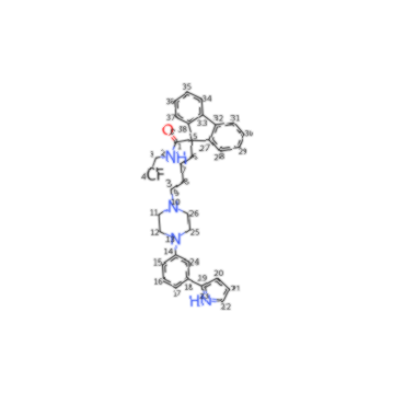 O=C(NCC(F)(F)F)C1(CCCCN2CCN(c3cccc(-c4ccc[nH]4)c3)CC2)c2ccccc2-c2ccccc21